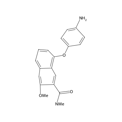 CNC(=O)c1cc2c(Oc3ccc(N)cc3)cccc2cc1OC